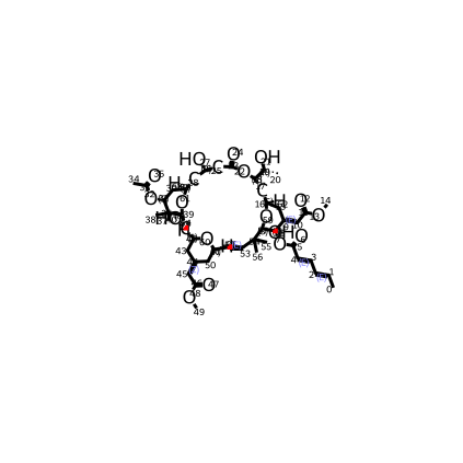 C/C=C/C=C/C(=O)O[C@H]1/C(=C/C(=O)OC)C[C@H]2C[C@H]([C@@H](C)O)OC(=O)C[C@H](O)C[C@@H]3C[C@H](OC(C)=O)C(C)(C)[C@](O)(C[C@@H]4C/C(=C/C(=O)OC)C[C@H](/C=C/C(C)(C)[C@]1(O)O2)O4)O3